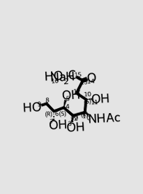 CC(=O)N[C@@H]([C@@H](O)[C@H](O)[C@H](O)CO)[C@@H](O)CC(=O)C(=O)O.[NaH]